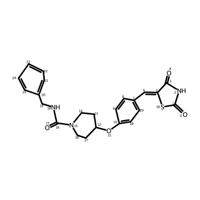 O=C1NC(=O)C(=Cc2ccc(OC3CCN(C(=O)NCc4ccccc4)CC3)cc2)S1